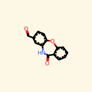 O=Cc1ccc2c(c1)NC(=O)c1ccccc1O2